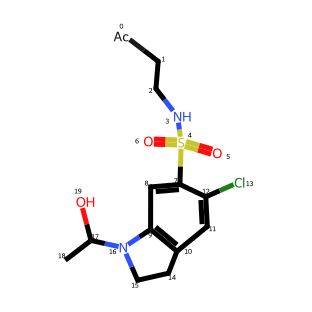 CC(=O)CCNS(=O)(=O)c1cc2c(cc1Cl)CCN2C(C)O